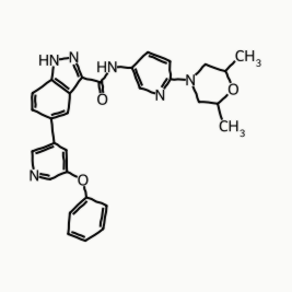 CC1CN(c2ccc(NC(=O)c3n[nH]c4ccc(-c5cncc(Oc6ccccc6)c5)cc34)cn2)CC(C)O1